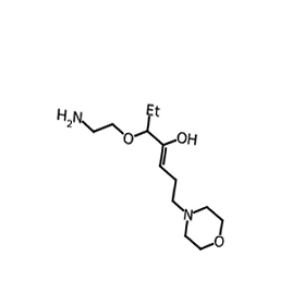 CCC(OCCN)C(O)=CCCN1CCOCC1